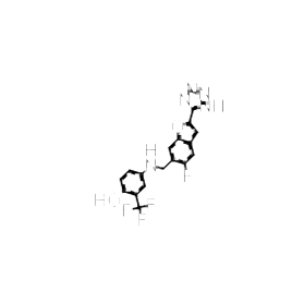 Oc1ccc(NCc2cc3oc(-c4nnn[nH]4)cc3cc2F)cc1C(F)(F)F